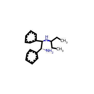 CCC(CC)N[C@H](c1ccccc1)[C@H](N)c1ccccc1